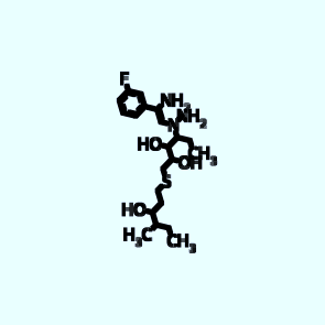 CCC(C)C(O)CCSCC(O)C(O)C(CC)N(N)/C=C(\N)c1cccc(F)c1